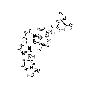 COc1ccc(CNc2cccc3c(Oc4ncccc4-c4ccnc(N[C@H]5CCCN(C(=O)O)C5)n4)c(C)ccc23)cc1OC